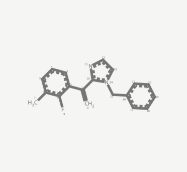 C=C(c1cccc(C)c1F)c1nccn1Cc1ccccc1